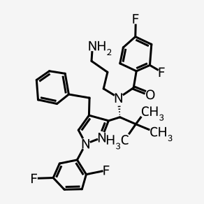 CC(C)(C)[C@H](c1nn(-c2cc(F)ccc2F)cc1Cc1ccccc1)N(CCCN)C(=O)c1ccc(F)cc1F